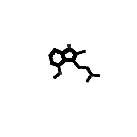 COc1cccc2[nH]c(I)c(CCN(C)C)c12